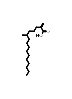 C=C(CCCC(C)CCCCCCCCCC)C(=O)O